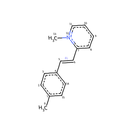 Cc1ccc(/C=C/c2cccc[n+]2C)cc1